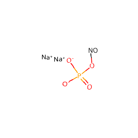 O=NOP(=O)([O-])[O-].[Na+].[Na+]